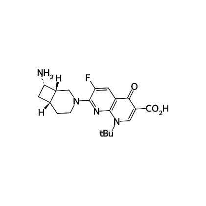 CC(C)(C)n1cc(C(=O)O)c(=O)c2cc(F)c(N3CC[C@@H]4C[C@H](N)[C@@H]4C3)nc21